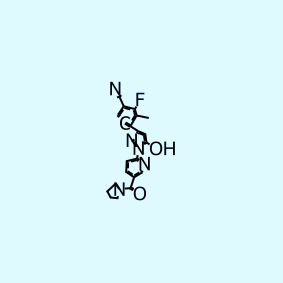 Cc1c(-c2cc(O)n(-c3ccc(C(=O)N4CCCC4)cn3)n2)ccc(C#N)c1F